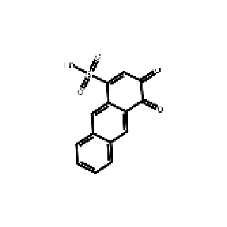 O=C1C=C(S(=O)(=O)O)c2cc3ccccc3cc2C1=O